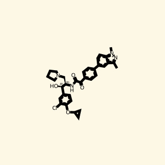 Cc1nn(C)c2ccc(-c3ccc(C(=O)C(=O)N[C@H](CN4CCCC4)[C@H](O)c4ccc(OC5CC5)c(Cl)c4)cc3)cc12